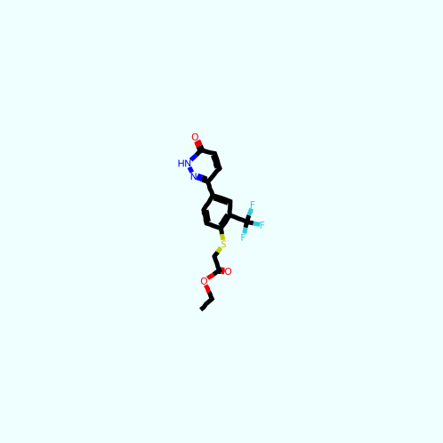 CCOC(=O)CSc1ccc(-c2ccc(=O)[nH]n2)cc1C(F)(F)F